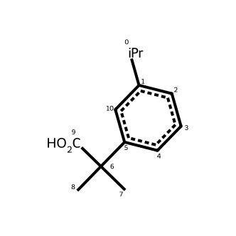 CC(C)c1cccc(C(C)(C)C(=O)O)c1